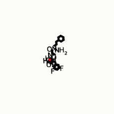 NN(CCCC1CCCCC1)C(=O)c1coc([C@@H]2[C@H](Cc3cc(F)cc(F)c3)[C@@H]3C[C@H]2O3)n1